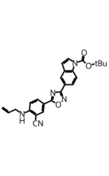 C=CCNc1ccc(-c2nc(-c3ccc4c(ccn4C(=O)OC(C)(C)C)c3)no2)cc1C#N